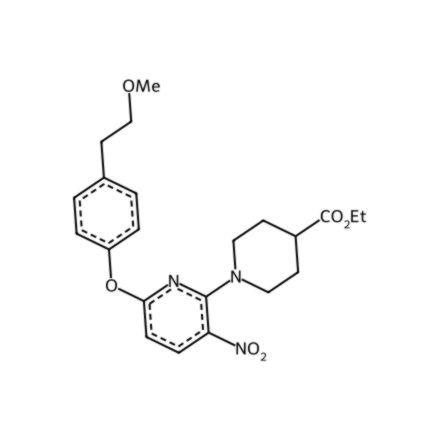 CCOC(=O)C1CCN(c2nc(Oc3ccc(CCOC)cc3)ccc2[N+](=O)[O-])CC1